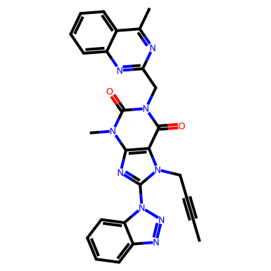 CC#CCn1c(-n2nnc3ccccc32)nc2c1c(=O)n(Cc1nc(C)c3ccccc3n1)c(=O)n2C